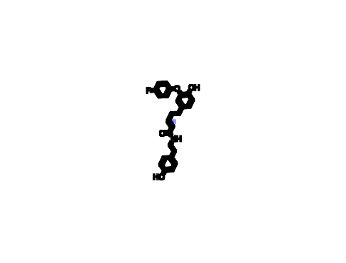 O=C(/C=C/CCc1ccc(O)c(Oc2ccc(F)cc2)c1)NCCc1ccc(O)cc1